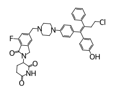 O=C1CCC(N2Cc3cc(CN4CCN(c5ccc(C(=C(CCCl)c6ccccc6)c6ccc(O)cc6)cc5)CC4)cc(F)c3C2=O)C(=O)N1